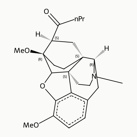 CCCC(=O)[C@H]1C[C@@]23CC[C@]1(OC)C1Oc4c(OC)ccc5c4[C@@]12CCN(C)[C@@H]3C5